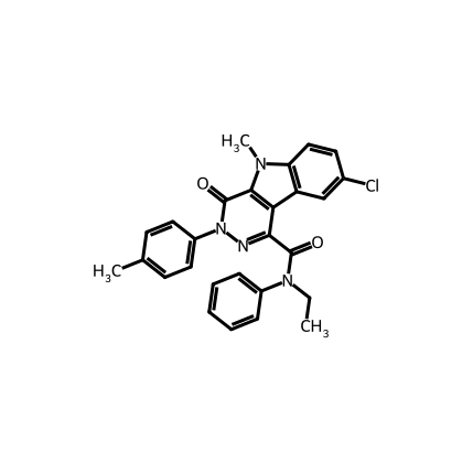 CCN(C(=O)c1nn(-c2ccc(C)cc2)c(=O)c2c1c1cc(Cl)ccc1n2C)c1ccccc1